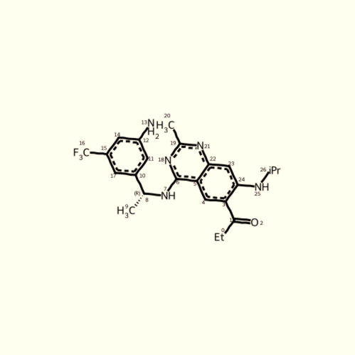 CCC(=O)c1cc2c(N[C@H](C)c3cc(N)cc(C(F)(F)F)c3)nc(C)nc2cc1NC(C)C